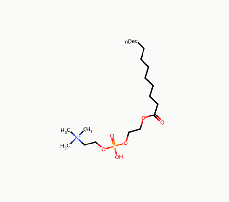 CCCCCCCCCCCCCCCCCC(=O)OCCOP(=O)(O)OCC[N+](C)(C)C